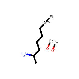 CC[O-].CC[O-].C[CH2][Sn+2][CH2]CCCC(C)N